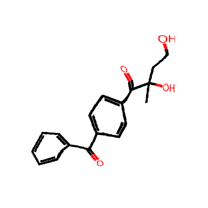 CC(O)(CCO)C(=O)c1ccc(C(=O)c2ccccc2)cc1